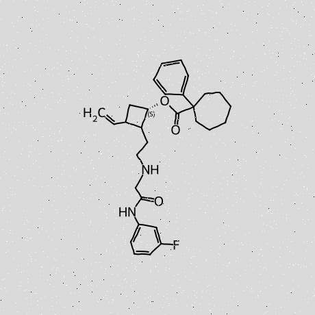 C=CC1C[C@H](OC(=O)C2(c3ccccc3)CCCCCC2)C1CCNCC(=O)Nc1cccc(F)c1